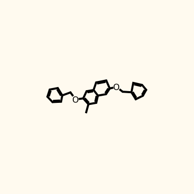 Cc1cc2cc(OCc3ccccc3)ccc2cc1OCc1ccccc1